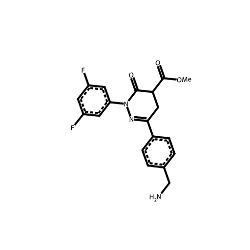 COC(=O)C1CC(c2ccc(CN)cc2)=NN(c2cc(F)cc(F)c2)C1=O